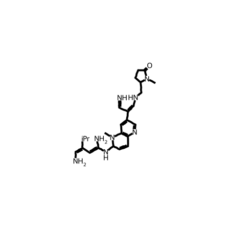 CC(C)C(=C/N)/C=C(\N)NC1C=Cc2ncc(/C(C=N)=C/NCC3CCC(=O)N3C)cc2N1C